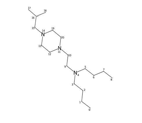 CCCCN(CCCC)CCN1CCN(C[C](C)C)CC1